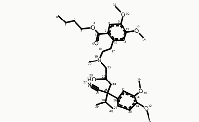 CCCCOC(=O)c1cc(OC)c(OC)cc1CCN(C)CC(O)CC(C#N)(c1ccc(OC)c(OC)c1)C(C)C